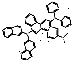 CN(C)c1ccc2c(c1)c(N(c1ccccc1)c1ccccc1)cc1c3ccccc3c(N(c3ccc4ccccc4c3)c3ccc4ccccc4c3)cc21